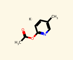 CC(=O)Oc1ccc(C)cn1.[K]